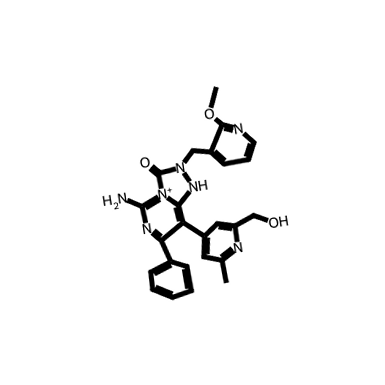 COc1ncccc1Cn1[nH]c2c(-c3cc(C)nc(CO)c3)c(-c3ccccc3)nc(N)[n+]2c1=O